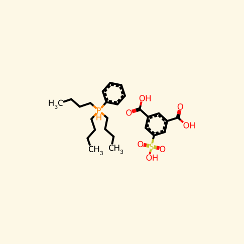 CCCC[PH](CCCC)(CCCC)c1ccccc1.O=C(O)c1cc(C(=O)O)cc(S(=O)(=O)O)c1